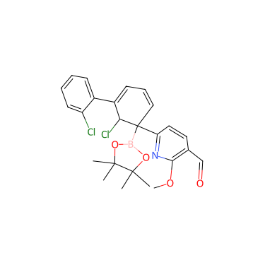 COc1nc(C2(B3OC(C)(C)C(C)(C)O3)C=CC=C(c3ccccc3Cl)C2Cl)ccc1C=O